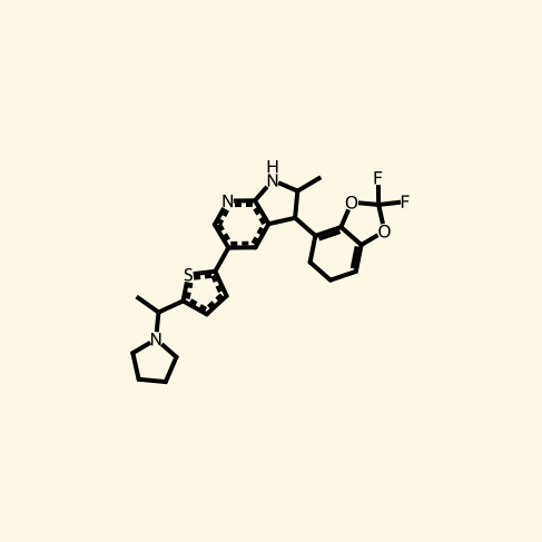 CC1Nc2ncc(-c3ccc(C(C)N4CCCC4)s3)cc2C1C1=C2OC(F)(F)OC2=CCC1